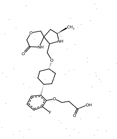 C[C@@H]1CC2(COCC(=O)N2)C(CO[C@H]2CC[C@@H](c3cccc(F)c3OCCC(=O)O)CC2)N1